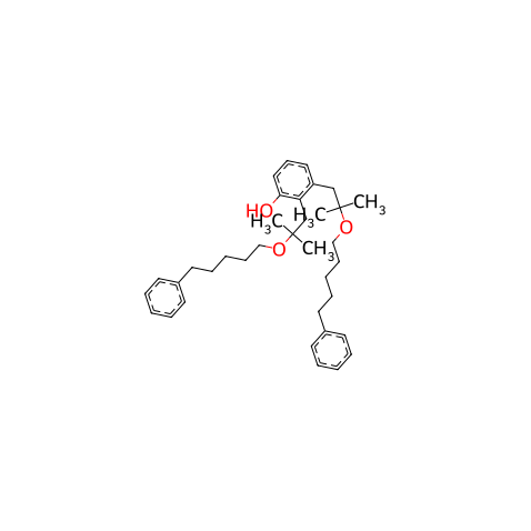 CC(C)(Cc1cccc(O)c1CC(C)(C)OCCCCCc1ccccc1)OCCCCCc1ccccc1